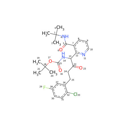 CC(C)(C)NC(=O)c1cccnc1C(NC(=O)OC(C)(C)C)C(=O)CCc1cc(F)ccc1Cl